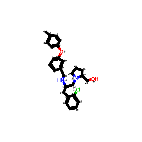 Cc1ccc(Oc2cccc(CNC(Cc3ccccc3Cl)CN3CCCC3CO)c2)cc1